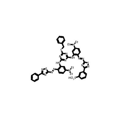 CCN(CC)c1ccc(/N=N/c2nc(-c3ccccc3)ns2)c(Nc2nc(Nc3cc(N(CC)CC)ccc3/N=N/c3nc(-c4cccc(S(=O)(=O)O)c4)ns3)nc(SCc3ccccc3)n2)c1